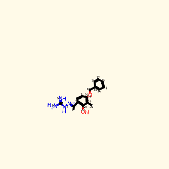 C/C(=N\NC(=N)N)c1ccc(OCc2ccccc2)c(C)c1O